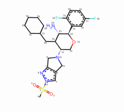 CS(=O)(=O)n1cc2c(n1)CN([C@H]1CO[C@H](c3cc(F)ccc3F)[C@@H](N)C1CC1CCCCC1)C2